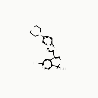 CCC1(N)NC=C(c2nc3ccc(N4CCOCC4)cn3n2)c2cc(N)ncc21